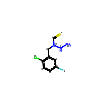 NNN(C=S)Cc1cc(F)ccc1Cl